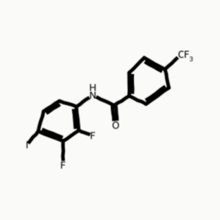 O=C(Nc1ccc(I)c(F)c1F)c1ccc(C(F)(F)F)cc1